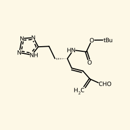 C=C(C=O)/C=C/[C@H](CCc1nnn[nH]1)NC(=O)OC(C)(C)C